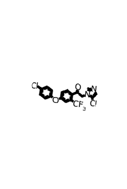 O=C(Cn1cncc1Cl)c1ccc(Oc2ccc(Cl)cc2)cc1C(F)(F)F